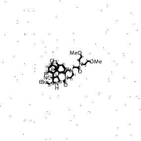 COCCN(CCOC)C(=O)CN1CCN(C(=O)[C@@H]2N[C@@H](CC(C)(C)C)[C@](C#N)(c3ccc(Cl)cc3F)[C@H]2c2cccc(Cl)c2F)CC1